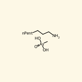 CCCCCCCCN.C[As](=O)(O)O